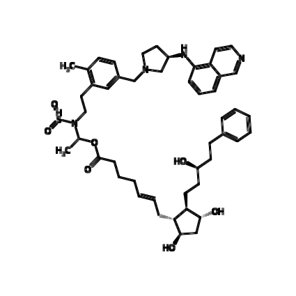 Cc1ccc(CN2CC[C@@H](Nc3cccc4cnccc34)C2)cc1CCN(C(C)OC(=O)CCCC=CC[C@@H]1[C@@H](CC[C@@H](O)CCc2ccccc2)[C@H](O)C[C@H]1O)[SH](=O)=O